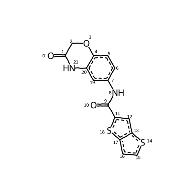 O=C1COc2ccc(NC(=O)c3cc4sccc4s3)cc2N1